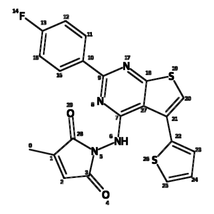 CC1=CC(=O)N(Nc2nc(-c3ccc(F)cc3)nc3scc(-c4cccs4)c23)C1=O